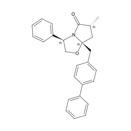 C[C@@H]1C[C@]2(Cc3ccc(-c4ccccc4)cc3)OC[C@@H](c3ccccc3)N2C1=O